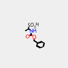 CC(NC(=O)OCc1ccccc1)S(=O)(=O)O